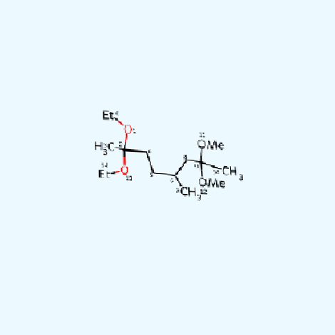 CCOC(C)(CCC(C)CC(C)(OC)OC)OCC